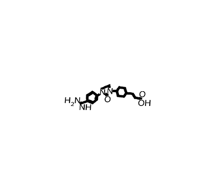 N=C(N)c1ccc(N2CCN(C3CCC(CCC(=O)O)CC3)C2=O)cc1